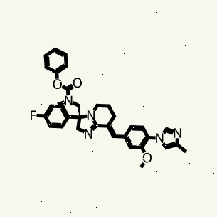 COc1cc(/C=C2\CCCN3C2=NC[C@]3(CN(C)C(=O)Oc2ccccc2)c2ccc(F)cc2)ccc1-n1cnc(C)c1